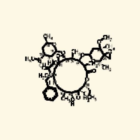 CC[C@H]1OC(=O)C(C)[C@H](OC2C[C@@](C)(OC)[C@@]3(CO3)[C@H](C)O2)[C@H](C)[C@@H](O[C@@H]2O[C@H](C)C[C@H](N(C)C)[C@H]2CC(=O)OCc2ccccc2)[C@@](C)(O)C[C@@H](C)NC[C@H](C)[C@@H](O)[C@]1(C)O